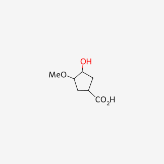 COC1CC(C(=O)O)CC1O